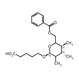 CC1[C@@H](OCCCCC(=O)O)OC(COC(=O)c2ccccc2)[C@@H](C)[C@@H]1C